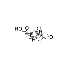 C[C@]12C[C@@H](Cl)[C@H]3[C@@H](CCC4=CC(=O)CC[C@@]43C)[C@@H]1CC[C@@H]2C(=O)CO